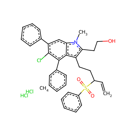 C.C=CC(CCc1c(CCO)n(C)c2cc(-c3ccccc3)c(Cl)c(-c3ccccc3)c12)S(=O)(=O)c1ccccc1.Cl.Cl